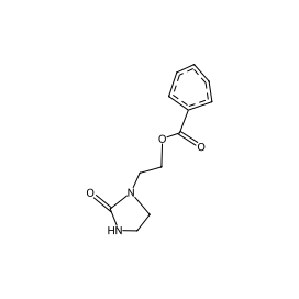 O=C(OCCN1CCNC1=O)c1ccccc1